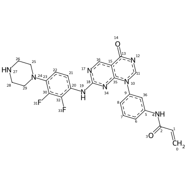 C=CC(=O)Nc1cccc(-n2cnc(=O)c3cnc(Nc4ccc(N5CCNCC5)c(F)c4F)nc32)c1